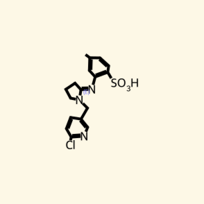 Cc1ccc(S(=O)(=O)O)c(/N=C2\CCCN2Cc2ccc(Cl)nc2)c1